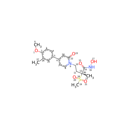 COc1ccc(-c2ccn(CC[C@](C)(C(=O)NO)S(C)(=O)=O)c(=O)c2)cc1C